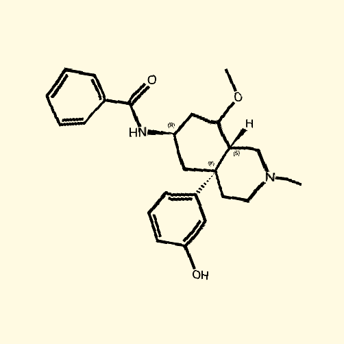 COC1C[C@H](NC(=O)c2ccccc2)C[C@]2(c3cccc(O)c3)CCN(C)C[C@@H]12